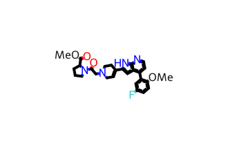 COC(=O)C1CCCN1C(=O)CN1CC=C(c2cc3c(-c4cc(F)ccc4OC)ccnc3[nH]2)CC1